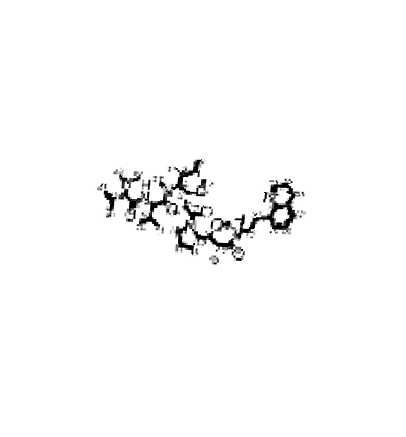 CC[C@H](C)C([C@@H](CC(=O)N1CCC[C@H]1[C@H](OC)[C@@H](C)C(=O)NCCc1cccc2cccnc12)OC)N(C)C(=O)[C@@H](NC(=O)[C@H](C(C)C)N(C)C)C(C)C